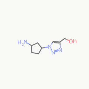 NC1CCC(n2cc(CO)nn2)C1